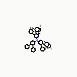 CC[C@H]1C[C@H]2CC[C@H](C2)[C@]12c1ccccc1-c1cc(N(c3ccc(-c4ccccc4)c(-c4ccccc4)c3)c3ccc4c(c3)-c3ccccc3[C@]43[C@H]4CC(C[C@@H](C)C4)C[C@@H]3C)ccc12